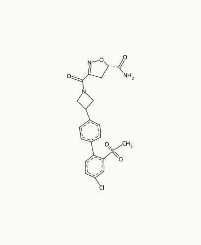 CS(=O)(=O)c1cc(Cl)ccc1-c1ccc(C2CN(C(=O)C3=NO[C@H](C(N)=O)C3)C2)cc1